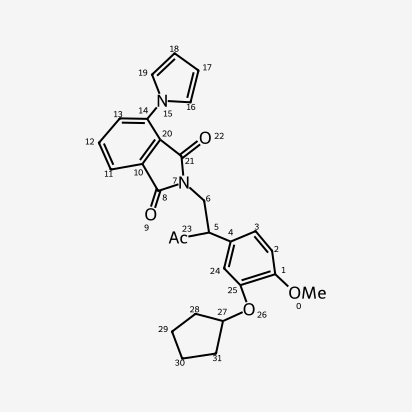 COc1ccc(C(CN2C(=O)c3cccc(-n4cccc4)c3C2=O)C(C)=O)cc1OC1CCCC1